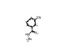 CC[C@@H](C)NC(=O)c1cccc(C#N)c1